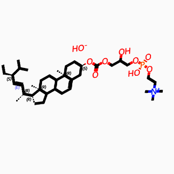 CC[C@H](/C=C/[C@@H](C)[C@H]1CCC2C3CC=C4C[C@@H](OC(=O)OCC(O)COP(=O)(O)OCC[N+](C)(C)C)CC[C@]4(C)C3CC[C@@]21C)C(C)C.[OH-]